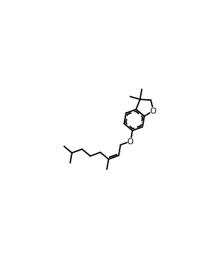 CC(=CCOc1ccc2c(c1)OCC2(C)C)CCCC(C)C